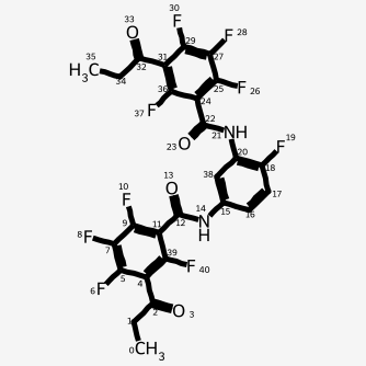 CCC(=O)c1c(F)c(F)c(F)c(C(=O)Nc2ccc(F)c(NC(=O)c3c(F)c(F)c(F)c(C(=O)CC)c3F)c2)c1F